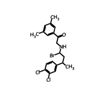 Cc1cc(C)cc(C(=O)CNC(Br)CC(C)c2ccc(Cl)c(Cl)c2)c1